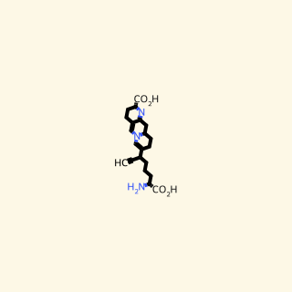 C#CC(CCCC(N)C(=O)O)C1=CN2C=C3CCC(C(=O)O)N=C3CC2CC1